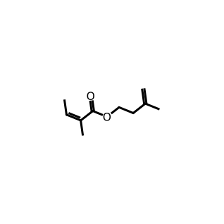 C=C(C)CCOC(=O)/C(C)=C\C